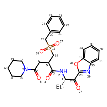 CC[C@H](NC(=O)C(CC(=O)N1CCCCC1)CS(=O)(=O)Cc1ccccc1)C(=O)c1nc2ccccc2o1